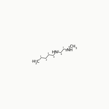 [CH2]CCCCNCCNC